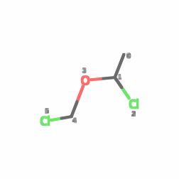 CC(Cl)OCCl